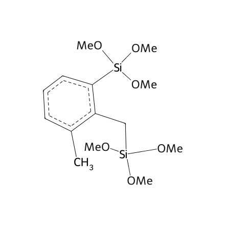 CO[Si](Cc1c(C)cccc1[Si](OC)(OC)OC)(OC)OC